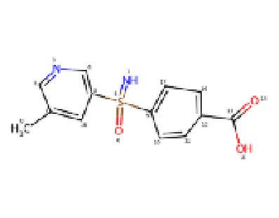 Cc1cncc(S(=N)(=O)c2ccc(C(=O)O)cc2)c1